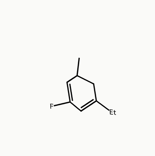 CCC1=CC(F)=CC(C)C1